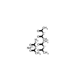 CC(=O)[CH-]C(C)=O.CC(=O)[CH-]C(C)=O.CC(=O)[CH-]C(C)=O.[Nd+3]